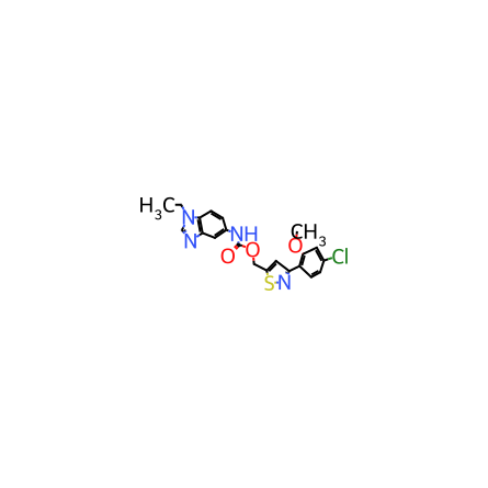 CCn1cnc2cc(NC(=O)OCc3cc(-c4ccc(Cl)cc4OC)ns3)ccc21